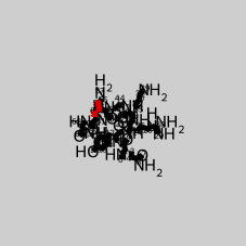 CN[C@@H](CCC(N)=O)C(=O)N[C@@H](Cc1ccc(O)cc1)C(=O)N[C@@H](CCCNC(=N)N)C(=O)N[C@@H](CCCCN)C(=O)N[C@@H](C)C(=O)N[C@H](C(=O)N[C@@H](CCCCN)C(=O)N[C@@H](C)C(N)=O)C(C)C